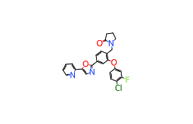 O=C1CCCN1Cc1ccc(-c2ncc(-c3ccccn3)o2)cc1Oc1ccc(Cl)c(F)c1